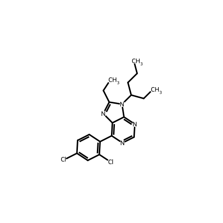 CCCC(CC)n1c(CC)nc2c(-c3ccc(Cl)cc3Cl)ncnc21